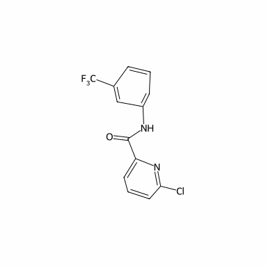 O=C(Nc1cccc(C(F)(F)F)c1)c1cccc(Cl)n1